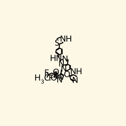 CC(F)(F)CS(=O)(=O)n1nccc1Cn1c(=O)c(Nc2cccnc2)cc2cnc(Nc3ccc(C4CNCCS4)cc3)nc21